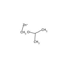 CC(C)[O-].[CH3][Zn+]